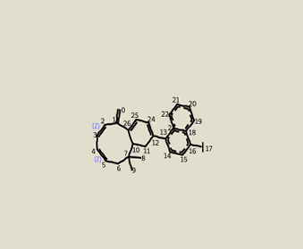 C=C1/C=C\C=C/CC(C)(C)C2CC(c3ccc(I)c4ccccc34)=CC=C12